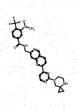 C[S+]([O-])c1cc(C(=O)NCc2cc3nc(-c4ccnc(N5CCNC6(CC6)C5)n4)ccc3cn2)ccc1C(F)(F)F